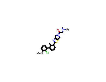 CNc1cccc(-c2cccc(-c3nc4c(s3)CN(C(=O)CN(C)C(C)C)C4)c2C)c1Cl